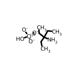 CCC(N)(CC)CC.[O-][Cl+3]([O-])([O-])O